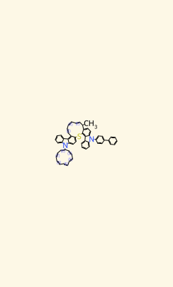 CC1/C=C/C=C\C=C/c2c(ccc3c2c2ccccc2n3C2=C/C=C\C=C/C=C/C=C/C=C\2)Sc2c1ccc1c2c2ccccc2n1-c1ccc(-c2ccccc2)cc1